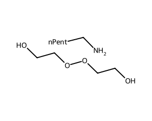 CCCCCCN.OCCOOCCO